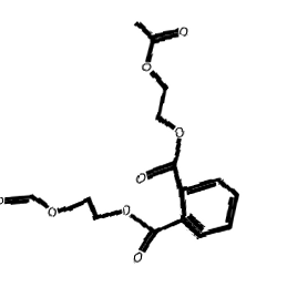 CC(=O)OCCOC(=O)c1ccccc1C(=O)OCCOC=O